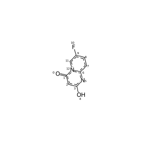 O=c1cc(O)nc2ccc(F)cn12